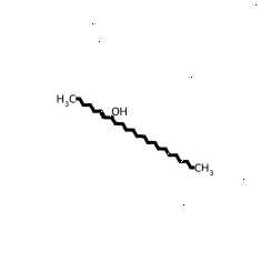 CCCCCC=CC(O)CCCCCCCCCCCCCCCC